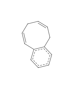 C1=C\Cc2ccccc2/C=C\C/1